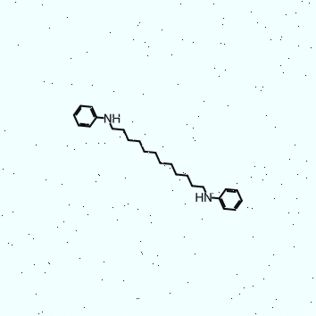 c1ccc(NCCCCCCCCCCCCNc2ccccc2)cc1